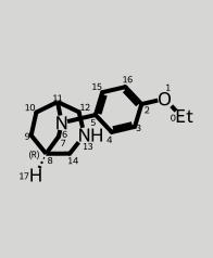 CCOc1ccc(N2C[C@@H]3CCC2CNC3)cc1